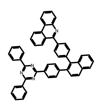 c1ccc(-c2nc(-c3ccccc3)nc(-c3ccc(-c4ccc5ccccc5c4-c4ccc(-c5nc6ccccc6c6ccccc56)cc4)cc3)n2)cc1